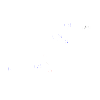 CCCC/C(N)=C/N(N)c1cccc(S(=O)(=O)Nc2cccc3cnccc23)c1